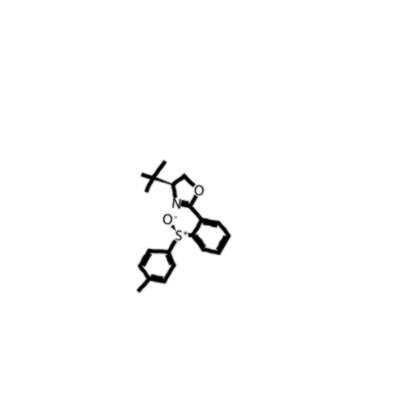 Cc1ccc([S@@+]([O-])c2ccccc2C2=N[C@@H](C(C)(C)C)CO2)cc1